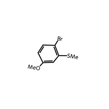 COc1ccc(Br)c(SC)c1